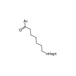 CCCCCCCCCCCCCC(=O)C(C)=O